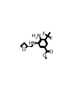 COC(=O)c1cc(NC[C@@H]2CCO2)c(N)c(C(C)(F)F)c1